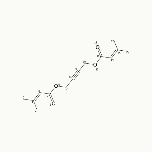 CC(C)=CC(=O)OCC#CCOC(=O)C=C(C)C